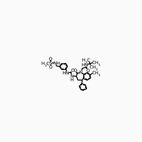 Cc1ccc2c(c1)N(CC(=O)NC(C)(C)C)C(=O)C(NC(=O)Nc1cccc(CNS(C)(=O)=O)c1)CC2c1ccccc1